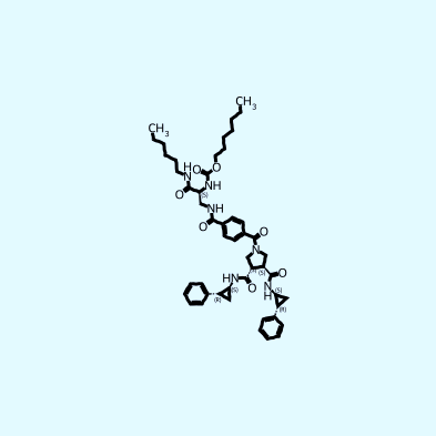 CCCCCCCOC(=O)N[C@@H](CNC(=O)c1ccc(C(=O)N2C[C@@H](C(=O)N[C@H]3C[C@@H]3c3ccccc3)[C@H](C(=O)N[C@H]3C[C@@H]3c3ccccc3)C2)cc1)C(=O)NCCCCCC